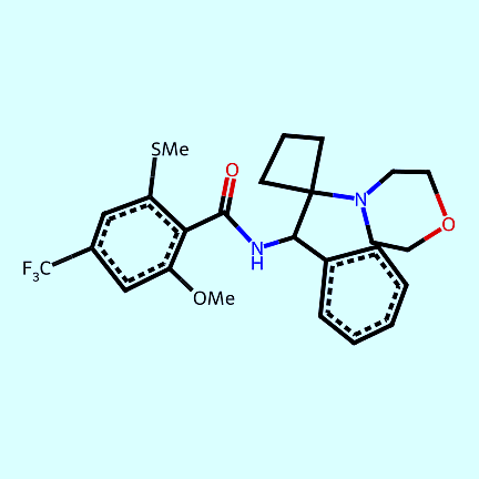 COc1cc(C(F)(F)F)cc(SC)c1C(=O)NC(c1ccccc1)C1(N2CCOCC2)CCC1